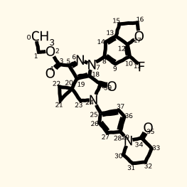 CCOC(=O)c1nn(-c2cc(F)c3c(c2)CCO3)c2c1C1(CC1)CN(c1ccc(N3CCCCC3=O)cc1)C2=O